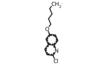 [CH2]CCCCOc1ccc2nc(Cl)ccc2c1